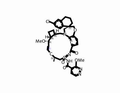 COc1nnccc1C(=O)N[S@@]1(=O)=NC(=O)c2ccc3c(c2)N(C[C@@H]2CC[C@H]2[C@@H](OC)/C=C/C[C@H](C)C1)C[C@@]1(CCCc2cc(Cl)ccc21)CO3